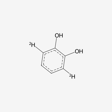 [2H]c1ccc([2H])c(O)c1O